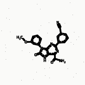 COc1cccc(-n2c(=O)[nH]c3c(C(N)=O)nc(-c4cccc(C#N)c4)nc32)c1